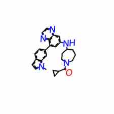 Cn1ccc2ccc(-c3cc(NC4CCCN(C(=O)C5CC5)CC4)cc4nccnc34)cc21